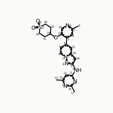 Cc1cc(-c2ccn3nc(Nc4cc(C)nc(C)n4)cc3c2)c(OC2CCS(=O)(=O)CC2)cn1